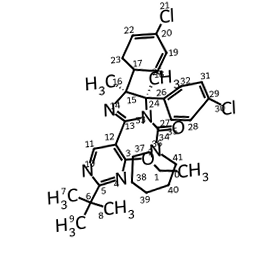 CCOc1nc(C(C)(C)C)ncc1C1=N[C@@](C)(C2C=CC(Cl)=CC2)[C@@](C)(c2ccc(Cl)cc2)N1C(=O)N1CCCCC1